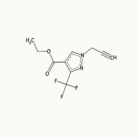 C#CCn1cc(C(=O)OCC)c(C(F)(F)F)n1